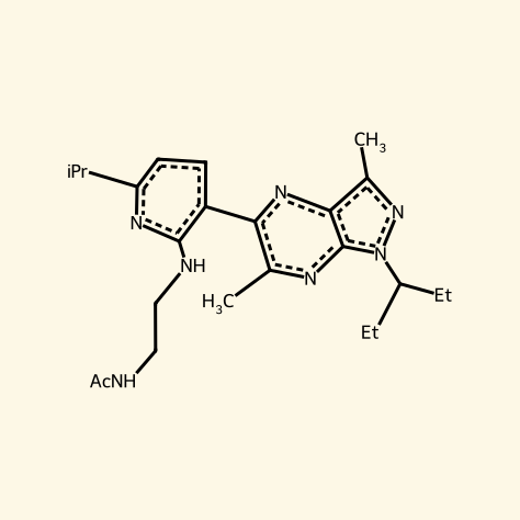 CCC(CC)n1nc(C)c2nc(-c3ccc(C(C)C)nc3NCCNC(C)=O)c(C)nc21